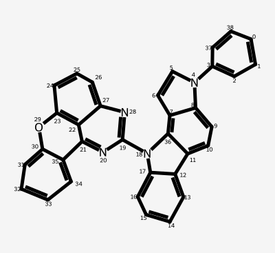 c1ccc(-n2ccc3c2ccc2c4ccccc4n(-c4nc5c6c(cccc6n4)Oc4ccccc4-5)c23)cc1